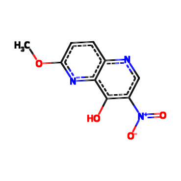 COc1ccc2ncc([N+](=O)[O-])c(O)c2n1